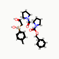 Cc1ccc([S@+]([O-])CC(=O)[C@@H]2CCCN2C(=O)[C@@H]2CCCN2C(=O)OCc2ccccc2)cc1